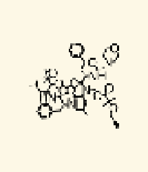 C#CCOC(C)(C)C(=O)OCN(C(=O)[C@H](CCc1ccccc1)NC(=O)CN1CCOCC1)[C@@H](CC(C)C)C(=O)N[C@@H](Cc1ccccc1)C(=O)N[C@@H](CC(C)C)C(=O)[C@@]1(C)CO1